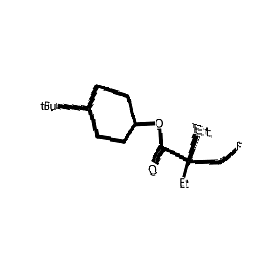 CCC(CC)(CF)C(=O)OC1CCC(C(C)(C)C)CC1